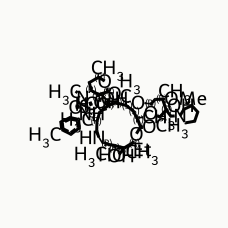 CC[C@H]1OC(=O)[C@H](C)[C@@H](O[C@H]2C[C@@](C)(OC)[C@](O)(CN3CCCCC3)[C@H](C)O2)[C@H](C)[C@@H](O[C@H]2O[C@@H](C)C[C@@H](N(C)S(=O)(=O)Nc3ccc(C)cc3)[C@@H]2O)[C@](C)(O)C[C@@H](C)CN[C@H](C)[C@@H](O)[C@]1(C)O